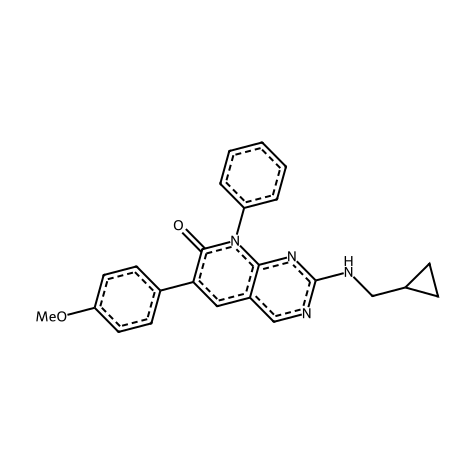 COc1ccc(-c2cc3cnc(NCC4CC4)nc3n(-c3ccccc3)c2=O)cc1